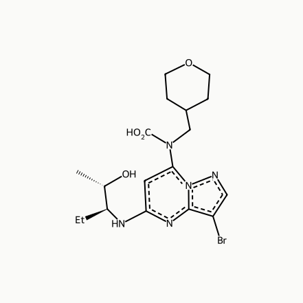 CC[C@H](Nc1cc(N(CC2CCOCC2)C(=O)O)n2ncc(Br)c2n1)[C@H](C)O